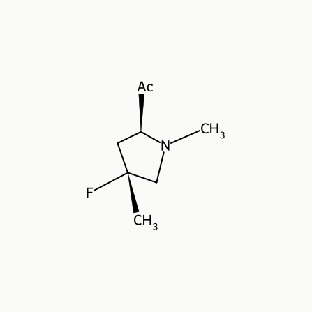 CC(=O)[C@@H]1C[C@@](C)(F)CN1C